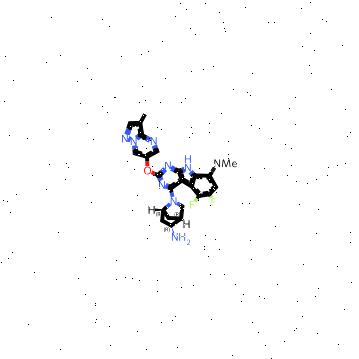 CNc1cc(F)c(F)c2c1[nH]c1nc(Oc3cnc4c(C)cnn4c3)nc(N3C[C@H]4C[C@@H]3C[C@H]4N)c12